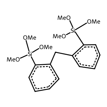 CO[Si](OC)(OC)c1ccccc1Cc1ccccc1[Si](OC)(OC)OC